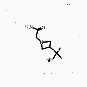 CCCC(C)(C)C1CN(CC(N)=O)C1